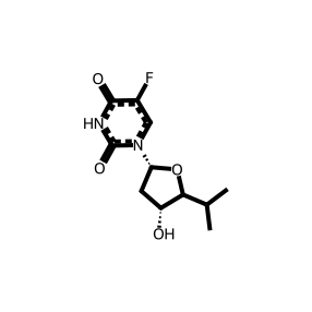 CC(C)C1O[C@@H](n2cc(F)c(=O)[nH]c2=O)C[C@H]1O